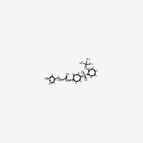 O=C(NCc1cn[nH]c1)Nc1ccc(S(=O)(=O)c2ccccc2OC(F)(F)F)cc1